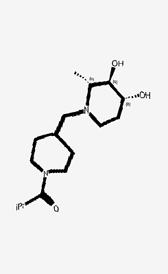 CC(C)C(=O)N1CCC(CN2CC[C@@H](O)[C@H](O)[C@H]2C)CC1